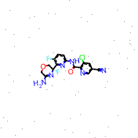 N#Cc1cnc(C(=O)Nc2ccc(F)c([C@]3(F)COCC(N)=N3)n2)c(Cl)c1